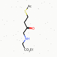 CCOC(=O)CNCC(=O)CCSC(C)=O